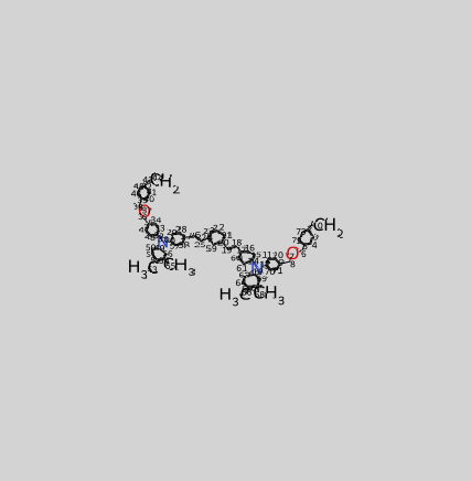 C=Cc1ccc(COCc2ccc(N(c3ccc(/C=C/c4cccc(/C=C/c5ccc(N(c6ccc(COCc7ccc(C=C)cc7)cc6)c6ccc(C)c(C)c6)cc5)c4)cc3)c3ccc(C)c(C)c3)cc2)cc1